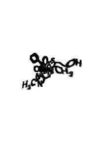 CC(=C(CCO)SCOC(=O)c1ccccc1)N(C=O)Cc1cnc(C)nc1N